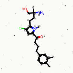 Cc1ccc(CCCC(=O)c2cc(Cl)c(CCC(C)(N)CO)n2C)cc1C